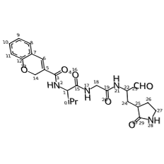 CC(C)C(NC(=O)C1=Cc2ccccc2OC1)C(=O)NCC(=O)NC(C=O)CC1CCNC1=O